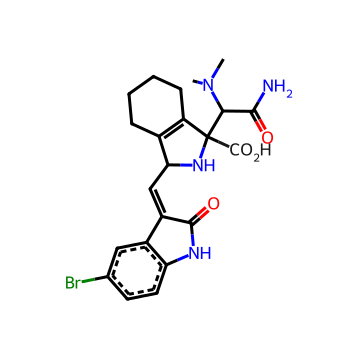 CN(C)C(C(N)=O)C1(C(=O)O)NC(C=C2C(=O)Nc3ccc(Br)cc32)C2=C1CCCC2